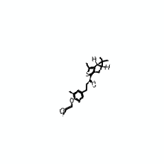 Cc1cc(CCC(=O)c2sc(C)c3c2C[C@@H]2[C@H]3C2(C)C)ccc1OCC1CO1